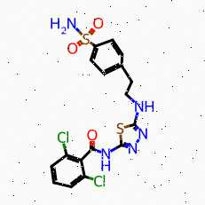 NS(=O)(=O)c1ccc(CCNc2nnc(NC(=O)c3c(Cl)cccc3Cl)s2)cc1